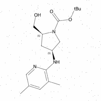 Cc1cnc(N[C@H]2C[C@@H](CO)N(C(=O)OC(C)(C)C)C2)c(C)c1